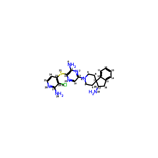 Nc1nc(N2CCC3(CC2)c2ccccc2C[C@H]3N)cnc1Sc1ccnc(N)c1Cl